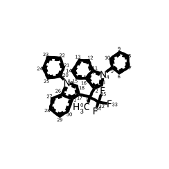 CC(c1cn(-c2ccccc2)c2ccccc12)(c1cn(-c2ccccc2)c2ccccc12)C(F)(F)F